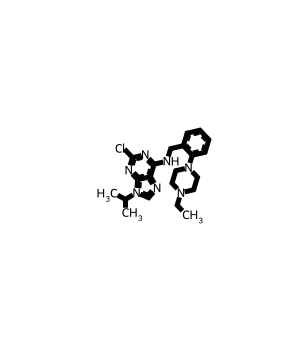 CCN1CCN(c2ccccc2CNc2nc(Cl)nc3c2ncn3C(C)C)CC1